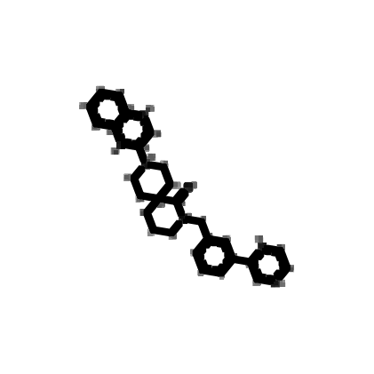 O=C1N(Cc2cccc(-c3cnccn3)c2)CCCC12CCN(c1cnc3ccccc3n1)CC2